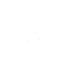 CC(O)c1nnn(-c2cc(Cl)ccc2F)n1